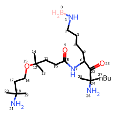 BNCCCCC(NC(=O)CCC(C)(C)OCCC(C)(C)N)C(=O)C(C)(N)CCCC